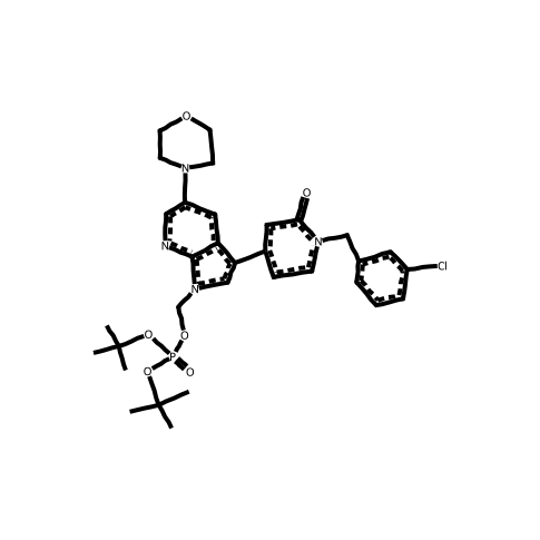 CC(C)(C)OP(=O)(OCn1cc(-c2ccn(Cc3cccc(Cl)c3)c(=O)c2)c2cc(N3CCOCC3)cnc21)OC(C)(C)C